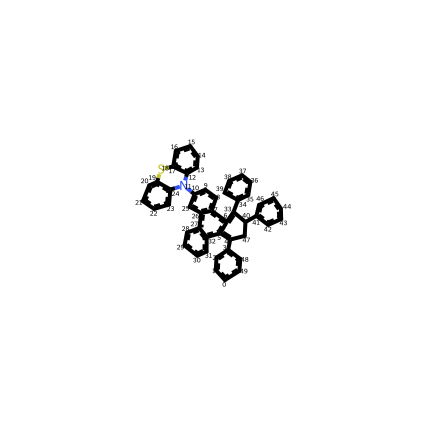 c1ccc(C2=c3c(c4ccc(N5c6ccccc6Sc6ccccc65)cc4c4ccccc34)=C(c3ccccc3)C(c3ccccc3)C2)cc1